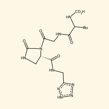 CCC(C)C(NC(=O)O)C(=O)NCC(=O)N1C(=O)NC[C@H]1C(=O)NCc1nn[nH]n1